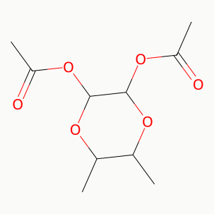 CC(=O)OC1OC(C)C(C)OC1OC(C)=O